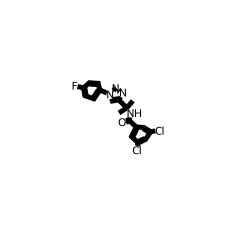 CC(C)(NC(=O)c1cc(Cl)cc(Cl)c1)c1cn(-c2ccc(F)cc2)nn1